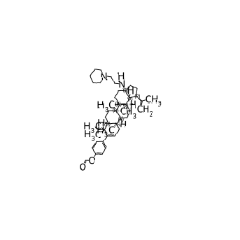 C=C(C)[C@@H]1CC[C@]2(NCCN3CCCCC3)CC[C@]3(C)[C@H](CC[C@@H]4[C@@]5(C)CC=C(c6ccc(OC=O)cc6)C(C)(C)[C@@H]5CC[C@]43C)[C@@H]12